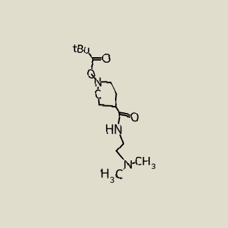 CN(C)CCNC(=O)C1CCN(OC(=O)C(C)(C)C)CC1